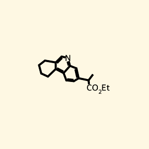 CCOC(=O)C(C)c1ccc2c3c(cnc2c1)CCCC3